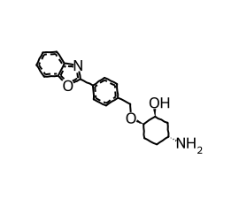 N[C@@H]1CC[C@@H](OCc2ccc(-c3nc4ccccc4o3)cc2)[C@@H](O)C1